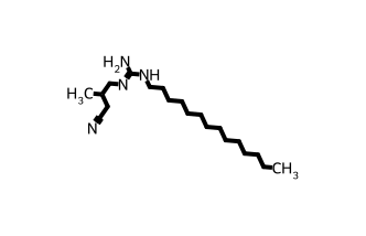 CCCCCCCCCCCCCCNC(N)=NCC(C)CC#N